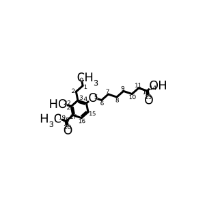 CCCc1c(OCCCCCCC(=O)O)ccc(C(C)=O)c1O